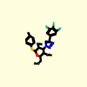 CC(=O)OCC1OC(Sc2ccc(C)cc2)C(OC(C)=O)C(n2cc(-c3cc(F)c(F)c(F)c3)nn2)C1OC(C)=O